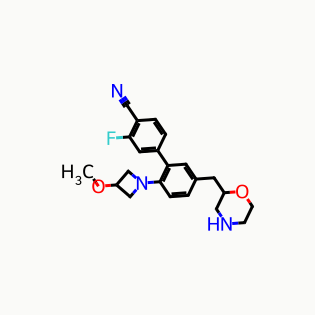 COC1CN(c2ccc(CC3CNCCO3)cc2-c2ccc(C#N)c(F)c2)C1